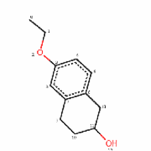 CCOc1ccc2c(c1)CCC(O)C2